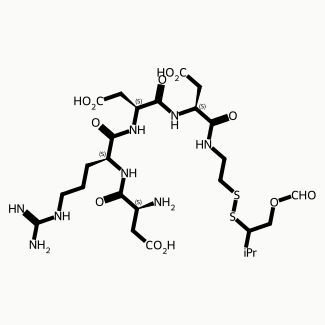 CC(C)C(COC=O)SSCCNC(=O)[C@H](CC(=O)O)NC(=O)[C@H](CC(=O)O)NC(=O)[C@H](CCCNC(=N)N)NC(=O)[C@@H](N)CC(=O)O